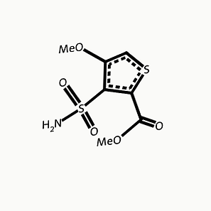 COC(=O)c1scc(OC)c1S(N)(=O)=O